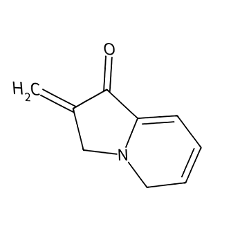 C=C1CN2CC=CC=C2C1=O